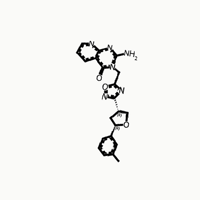 Cc1cccc([C@H]2C[C@H](c3noc(Cn4c(N)nc5ncccc5c4=O)n3)CO2)c1